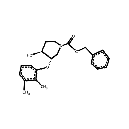 Cc1cccc(O[C@H]2CN(C(=O)OCc3ccccc3)CC[C@@H]2O)c1C